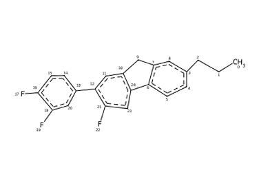 CCCc1ccc2c(c1)Cc1cc(-c3ccc(F)c(F)c3)c(F)cc1-2